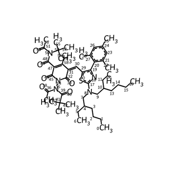 CCCCC(CC)CN(CC(CC)CCCC)c1nc(-c2c(C)cc(C)cc2C)c(/C=C2\C(=O)N(N(C(C)=O)C(=O)C(C)(C)C)C(=O)C(C(=O)N(C(C)=O)C(C)(C)C)=C2C)s1